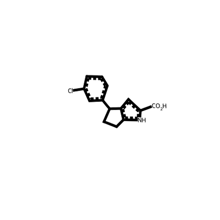 O=C(O)c1cc2c([nH]1)CCC2c1cccc(Cl)c1